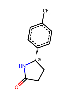 O=C1CC[C@@H](c2ccc(C(F)(F)F)cc2)N1